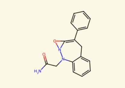 NC(=O)CN1c2ccccc2CC(c2ccccc2)=C2ON21